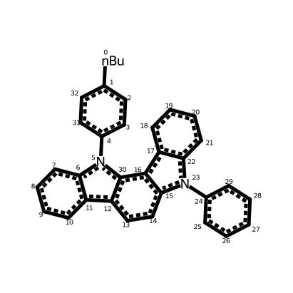 CCCCc1ccc(-n2c3ccccc3c3ccc4c(c5ccccc5n4-c4ccccc4)c32)cc1